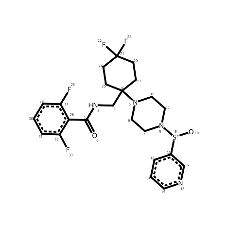 O=C(NCC1(N2CCN([S+]([O-])c3cccnc3)CC2)CCC(F)(F)CC1)c1c(F)cccc1F